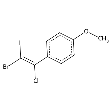 COc1ccc(C(Cl)=C(Br)I)cc1